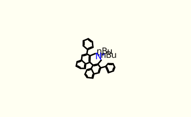 CCCC[N+]1(CCCC)Cc2c(-c3ccccc3)cc3ccccc3c2-c2c(c(-c3ccccc3)cc3ccccc23)C1